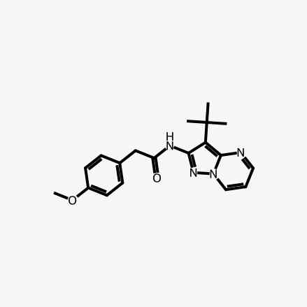 COc1ccc(CC(=O)Nc2nn3cccnc3c2C(C)(C)C)cc1